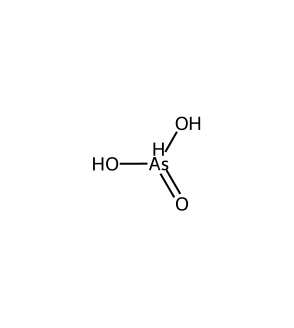 O=[AsH](O)O